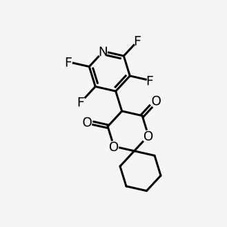 O=C1OC2(CCCCC2)OC(=O)C1c1c(F)c(F)nc(F)c1F